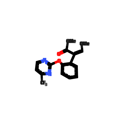 COC=C(C(=O)OC)c1ccccc1Oc1nccc(C(F)(F)F)n1